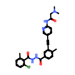 Cc1ccc(C(=O)NNC(=O)c2c(C)cccc2Cl)cc1C#Cc1ccc(NC(=O)CN(C)C)nc1